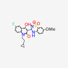 COc1ccc2c(c1)S(=O)(=O)N=C(c1c(O)c3cc(F)ccc3n(CCC3CC3)c1=O)N2